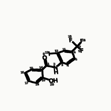 O=C(Nc1ccc(C(F)(F)F)cc1I)c1ccccc1O